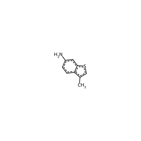 Cc1csc2cc(N)ccc12